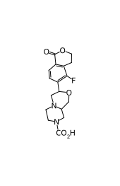 O=C1OCCc2c1ccc(C1CN3CCN(C(=O)O)CC3CO1)c2F